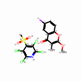 CCCCOc1oc2ccc(I)cc2c(=O)c1CCC.CS(=O)(=O)c1c(Cl)c(Cl)nc(Cl)c1Cl